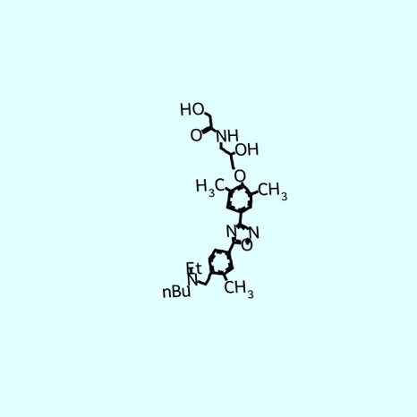 CCCCN(CC)Cc1ccc(-c2nc(-c3cc(C)c(OCC(O)CNC(=O)CO)c(C)c3)no2)cc1C